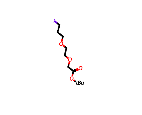 CC(C)(C)OC(=O)COCCOCCCI